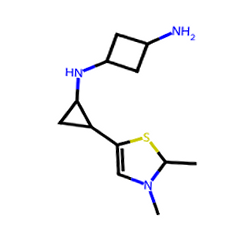 CC1SC(C2CC2NC2CC(N)C2)=CN1C